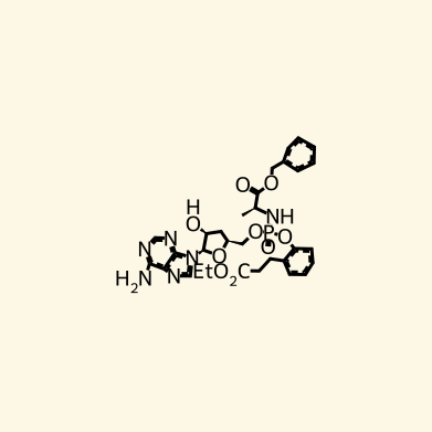 CCOC(=O)CCc1ccccc1OP(=O)(N[C@@H](C)C(=O)OCc1ccccc1)OC[C@@H]1C[C@H](O)[C@H](n2cnc3c(N)ncnc32)O1